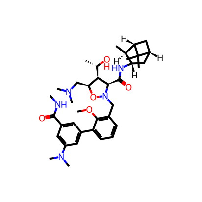 CNC(=O)c1cc(-c2cccc(CN3O[C@@H](CN(C)C)[C@@H]([C@H](C)O)[C@H]3C(=O)N[C@H]3C[C@H]4C[C@@H]([C@@H]3C)C4(C)C)c2OC)cc(N(C)C)c1